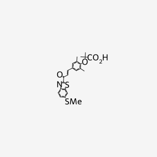 CSc1ccc2nc(C(=O)/C=C/c3cc(C)c(OC(C)(C)C(=O)O)c(C)c3)sc2c1